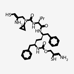 CC(C)[C@H](NC(=O)N(C/C(N)=C/S)C1CC1)C(=O)N[C@H](CC[C@H](Cc1ccccc1)NC(=O)OC/C(S)=C/N)Cc1ccccc1